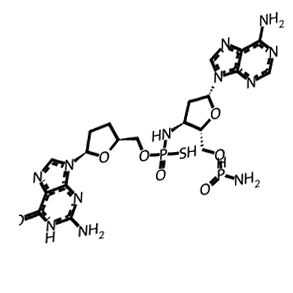 Nc1nc2c(ncn2[C@H]2CC[C@@H](COP(=O)(S)N[C@H]3C[C@H](n4cnc5c(N)ncnc54)O[C@@H]3CO[PH](N)=O)O2)c(=O)[nH]1